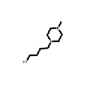 CN1CCN(CCCCS)CC1